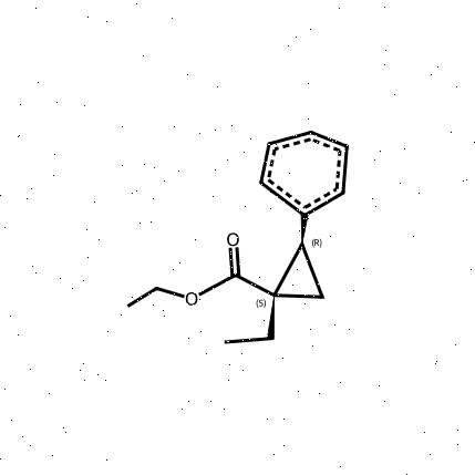 CCOC(=O)[C@@]1(CC)C[C@@H]1c1ccccc1